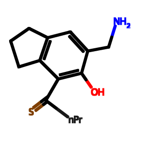 CCCC(=S)c1c(O)c(CN)cc2c1CCC2